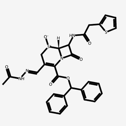 CC(=O)N/N=C/C1=C(C(=O)OC(c2ccccc2)c2ccccc2)N2C(=O)C(NC(=O)Cc3cccs3)[C@H]2[S+]([O-])C1